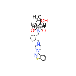 C[C@@]1(O)C[C@H]2C[C@@H]1[C@@H]1C(=O)N(CC3CCCCC3CN3CCN(c4nsc5ccccc45)CC3)C(=O)[C@H]21